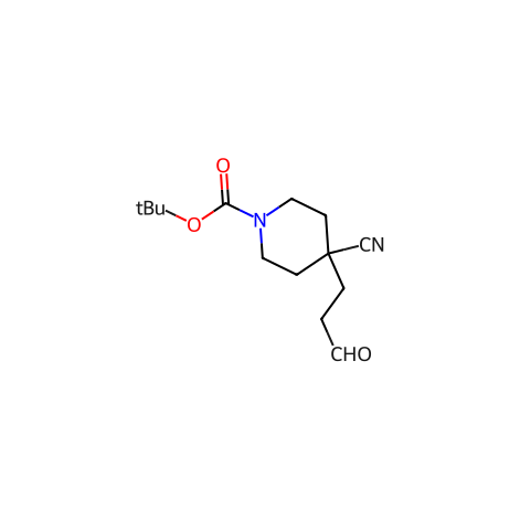 CC(C)(C)OC(=O)N1CCC(C#N)(CCC=O)CC1